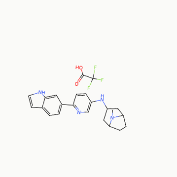 CN1C2CCC1CC(Nc1ccc(-c3ccc4cc[nH]c4c3)nc1)C2.O=C(O)C(F)(F)F